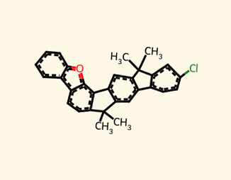 CC1(C)c2cc(Cl)ccc2-c2cc3c(cc21)-c1c(ccc2c1oc1ccccc12)C3(C)C